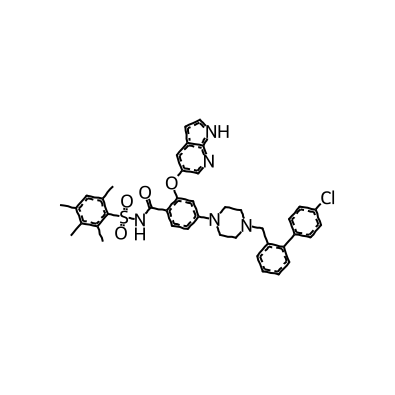 Cc1cc(C)c(S(=O)(=O)NC(=O)c2ccc(N3CCN(Cc4ccccc4-c4ccc(Cl)cc4)CC3)cc2Oc2cnc3[nH]ccc3c2)c(C)c1C